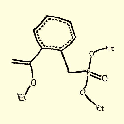 C=C(OCC)c1ccccc1CP(=O)(OCC)OCC